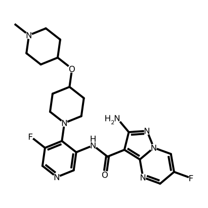 CN1CCC(OC2CCN(c3c(F)cncc3NC(=O)c3c(N)nn4cc(F)cnc34)CC2)CC1